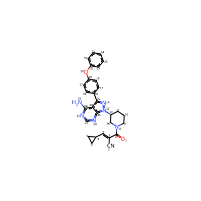 N#CC(=CC1CC1)C(=O)N1CCC[C@H](n2nc(-c3ccc(Oc4ccccc4)cc3)c3c(N)ncnc32)C1